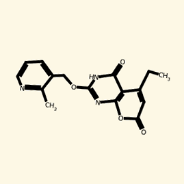 CCc1cc(=O)oc2nc(OCc3cccnc3C)[nH]c(=O)c12